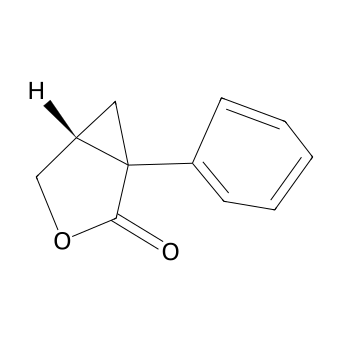 O=C1OC[C@@H]2CC12c1ccccc1